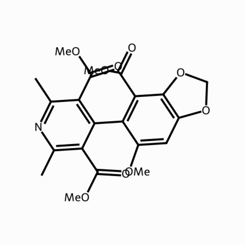 COC(=O)c1c2c(cc(OC)c1-c1c(C(=O)OC)c(C)nc(C)c1C(=O)OC)OCO2